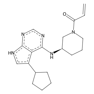 C=CC(=O)N1CCC[C@@H](Nc2ncnc3[nH]cc(C4CCCC4)c23)C1